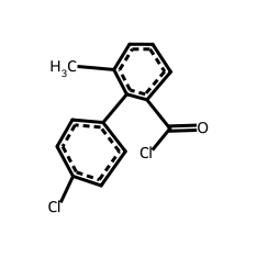 Cc1cccc(C(=O)Cl)c1-c1ccc(Cl)cc1